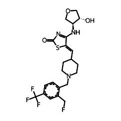 O=C1N=C(N[C@H]2COC[C@@H]2O)/C(=C/C2CCN(Cc3ccc(C(F)(F)F)cc3CF)CC2)S1